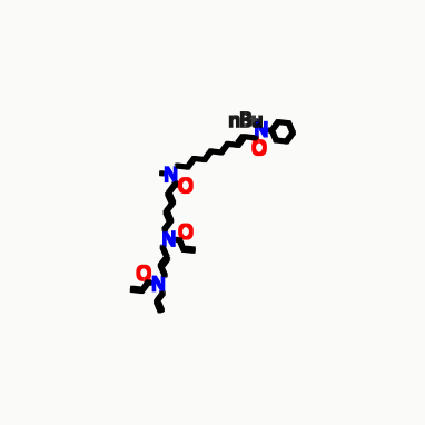 C=CCN(C/C=C/CN(C/C=C/C=C/C(=O)N(C)CCCCCCC/C=C/C(=O)N(CCCC)C1CCCCC1)C(=O)C=C)C(=O)C=C